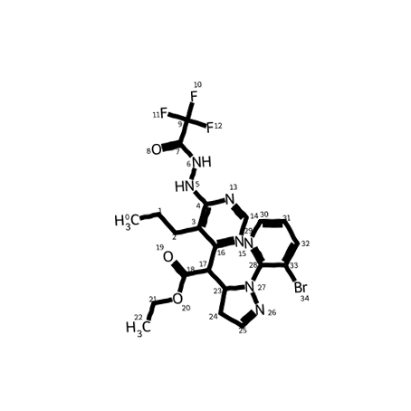 CCCc1c(NNC(=O)C(F)(F)F)ncnc1C(C(=O)OCC)C1CC=NN1c1ncccc1Br